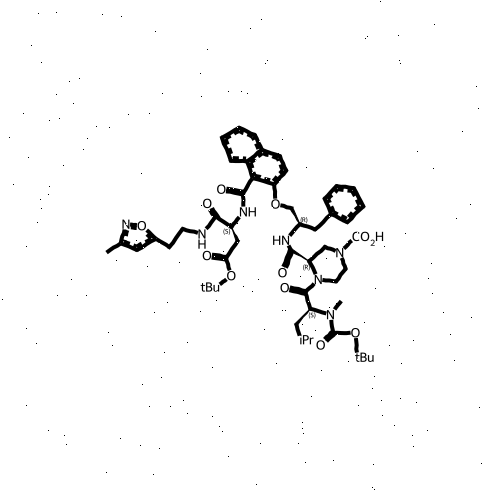 Cc1cc(CCNC(=O)[C@H](CC(=O)OC(C)(C)C)NC(=O)c2c(OC[C@@H](Cc3ccccc3)NC(=O)[C@H]3CN(C(=O)O)CCN3C(=O)[C@H](CC(C)C)N(C)C(=O)OC(C)(C)C)ccc3ccccc23)on1